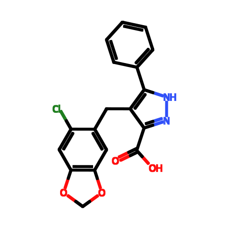 O=C(O)c1n[nH]c(-c2ccccc2)c1Cc1cc2c(cc1Cl)OCO2